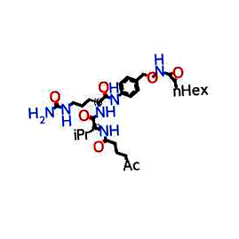 CCCCCCC1OC1NOCc1ccc(NC(=O)[C@H](CCCNC(N)=O)NC(=O)[C@@H](NC(=O)CCCC(C)=O)C(C)C)cc1